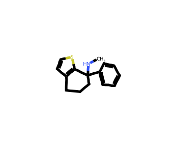 CNC1(c2ccccc2)CCCc2ccsc21